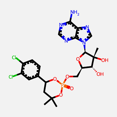 CC1(C)CC(c2ccc(Cl)c(Cl)c2)OP(=O)(OC[C@H]2O[C@@H](n3cnc4c(N)ncnc43)[C@](C)(O)[C@@H]2O)O1